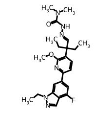 CCn1ncc2c(F)cc(-c3ccc(C(/C=N/NC(=O)N(C)C)(CC)CC)c(OC)n3)cc21